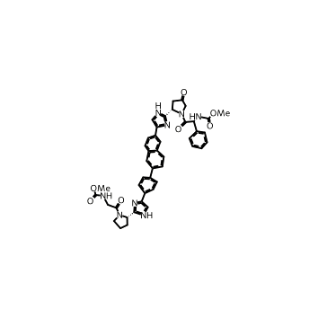 COC(=O)NCC(=O)N1CCC[C@H]1c1nc(-c2ccc(-c3ccc4cc(-c5c[nH]c([C@@H]6CC(=O)CN6C(=O)[C@H](NC(=O)OC)c6ccccc6)n5)ccc4c3)cc2)c[nH]1